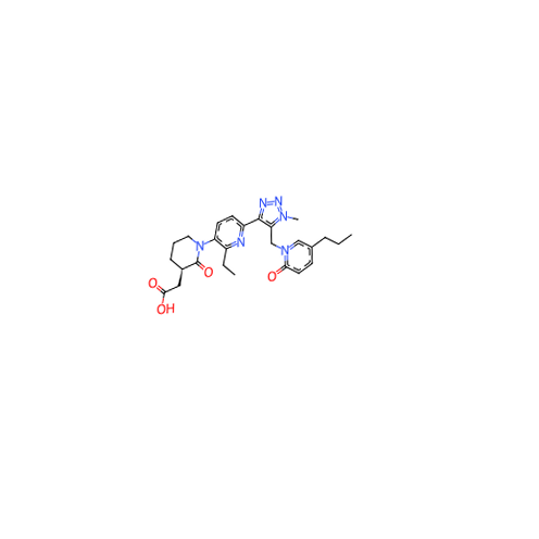 CCCc1ccc(=O)n(Cc2c(-c3ccc(N4CCC[C@H](CC(=O)O)C4=O)c(CC)n3)nnn2C)c1